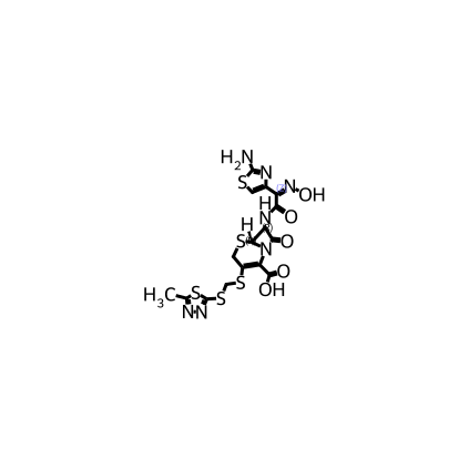 Cc1nnc(SCSC2=C(C(=O)O)N3C(=O)[C@@H](NC(=O)/C(=N\O)c4csc(N)n4)[C@H]3SC2)s1